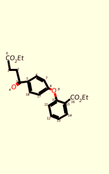 CCOC(=O)CCC(=O)c1ccc(Oc2ccccc2C(=O)OCC)cc1